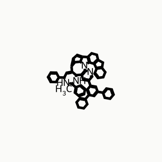 CC1(c2ccccc2)NC2C(=CC(C3C=CC=CC3)N1)C1=CC=C3C4=C(C5=C(CC4)CC4=C5C=CCC4)N(c4ncc(-c5cc(C6=CC=CCC6)cc(C6=CCCCC6)c5)cc42)C3C1